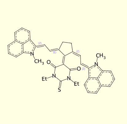 CCN1C(=O)C(=C2/C(=C\C=c3\c4cccc5cccc(c54)n3C)CC/C2=C\C=c2\c3cccc4cccc(c43)n2C)C(=O)N(CC)C1=S